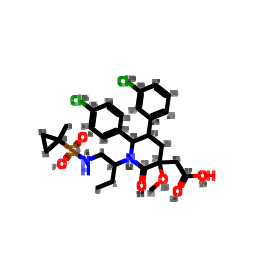 CCC(CNS(=O)(=O)C1(C)CC1)N1C(=O)C(CC(=O)O)(OC)CC(c2cccc(Cl)c2)C1c1ccc(Cl)cc1